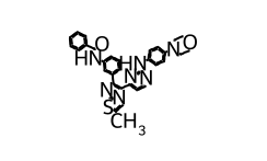 Cc1cn2c(-c3ccnc(Nc4ccc(N5CCOCC5)cc4)n3)c(-c3cccc(NC(=O)c4ccccc4)c3)nc2s1